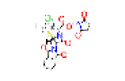 C[C@@]1(CCl)S[C@@H]2C(N3C(=O)C4CCCCC4C3=O)C(=O)N2C1C(=O)OCN1C(=O)CCC1=O